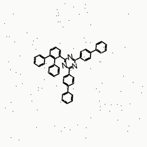 c1ccc(-c2ccc(-c3nc(-c4ccc(-c5ccccc5)cc4)nc(-c4cccc(-c5ccccc5)c4-c4ccccc4)n3)cc2)cc1